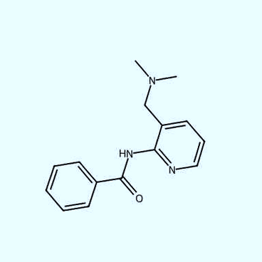 CN(C)Cc1cccnc1NC(=O)c1ccccc1